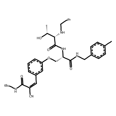 Cc1ccc(CNC(=O)[C@H](COc2cccc(C=C(C#N)C(=O)NC(C)(C)C)c2)NC(=O)[C@@H](NCC(C)C)[C@@H](C)O)cc1